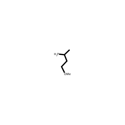 COCCC(C)P